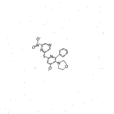 COc1cc(Sc2cncc([N+](=O)[O-])n2)nc(-c2ccccc2)c1N1CCOCC1